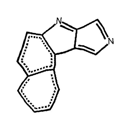 C1=NC=C2C1=Nc1ccc3ccccc3c12